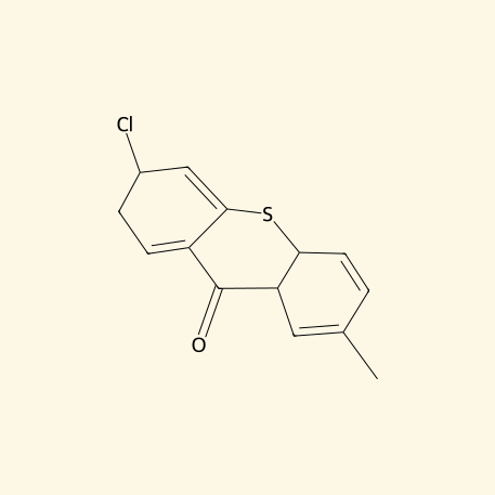 CC1=CC2C(=O)C3=CCC(Cl)C=C3SC2C=C1